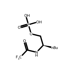 CCCC[C@H](COP(=O)(O)O)NC(=O)C(F)(F)F